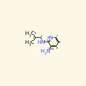 CC(C)CNc1ncccc1N